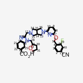 N#Cc1ccc(COc2cccc(N3CC4CN(Cc5nc6ccc(C(=O)O)cc6n5CC5CCCO5)CC4C3)n2)c(F)c1